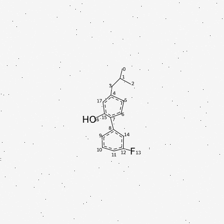 CC(C)Cc1ccc(-c2cccc(F)c2)c(O)c1